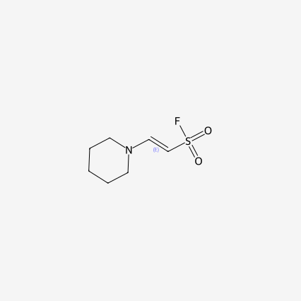 O=S(=O)(F)/C=C/N1CCCCC1